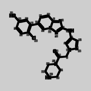 O=C(Cn1cc(Nc2nc3ccc(-c4cc(O)ccc4Cl)cn3n2)cn1)N1CCNCC1